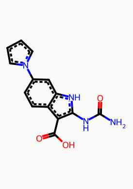 NC(=O)Nc1[nH]c2cc(-n3cccc3)ccc2c1C(=O)O